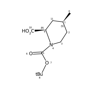 C[C@H]1CCN(C(=O)OC(C)(C)C)[C@@H](C(=O)O)C1